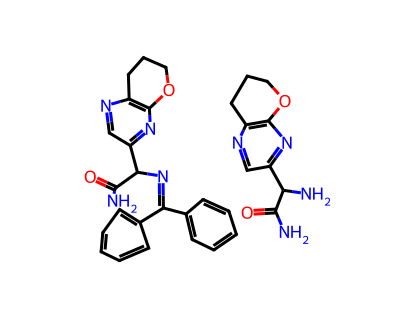 NC(=O)C(N)c1cnc2c(n1)OCCC2.NC(=O)C(N=C(c1ccccc1)c1ccccc1)c1cnc2c(n1)OCCC2